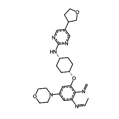 C=Nc1c(/N=C\C)cc(N2CCOCC2)cc1O[C@H]1CC[C@@H](Nc2ncc(C3CCOC3)cn2)CC1